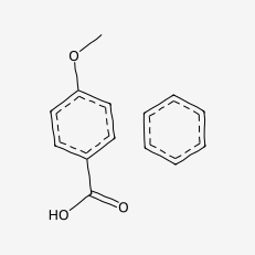 COc1ccc(C(=O)O)cc1.c1ccccc1